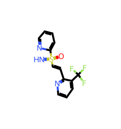 N=S(=O)(/C=C/c1ncccc1C(F)(F)F)c1ccccn1